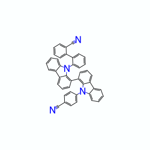 N#Cc1ccc(-n2c3ccccc3c3cccc(-c4cccc5c6ccccc6n(-c6ccccc6-c6ccccc6C#N)c45)c32)cc1